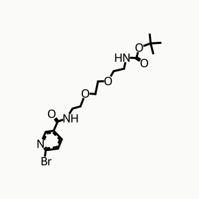 CC(C)(C)OC(=O)NCCOCCOCCNC(=O)c1ccc(Br)nc1